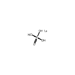 O=P(O)(O)O.[La]